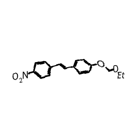 CCOCOc1ccc(C=Cc2ccc([N+](=O)[O-])cc2)cc1